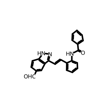 O=Cc1ccc2[nH]nc(C=Cc3ccccc3NC(=O)c3ccccc3)c2c1